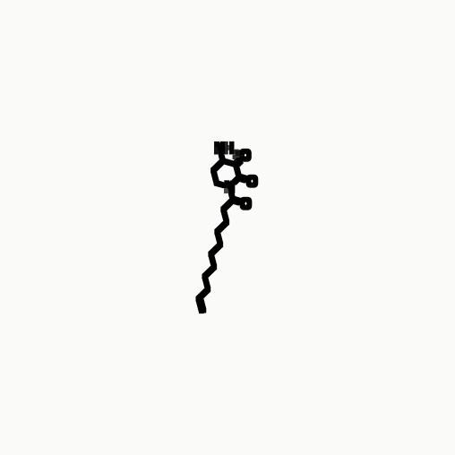 C=CCCCCCCCCC(=O)N1CCC(N)C(=O)C1=O